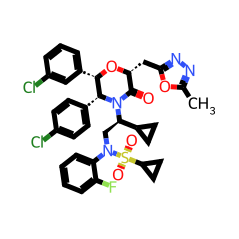 Cc1nnc(C[C@H]2O[C@@H](c3cccc(Cl)c3)[C@@H](c3ccc(Cl)cc3)N([C@H](CN(c3ccccc3F)S(=O)(=O)C3CC3)C3CC3)C2=O)o1